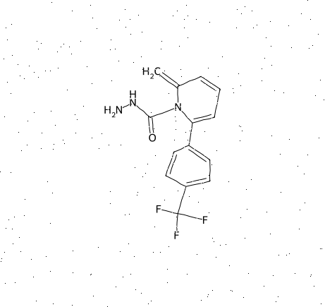 C=C1C=CC=C(c2ccc(C(F)(F)F)cc2)N1C(=O)NN